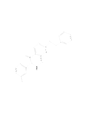 O=c1nc2[nH]c(NCc3ccccn3)ncc-2c(=O)n1-c1cccc(F)c1